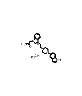 Cl.Cl.NC(=O)CN1C[C@H](CCN2CCN(c3ccc4[nH]ccc4c3)CC2)c2ccccc21